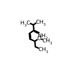 CCC(/C=C\C(=C/N)C(C)C)OC